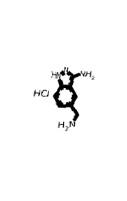 Cl.NCc1ccc2[nH]nc(N)c2c1